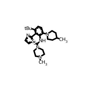 CC1CCN(c2ccc(C(C)(C)C)c(-c3nccs3)c2NC(=S)N2CCN(C)CC2)CC1